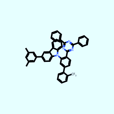 Cc1cc(C)cc(-c2ccc3c(c2)c2ccccc2n3-c2cc(-c3ccccc3C(F)(F)F)ccc2-c2nc(-c3ccccc3)nc(-c3ccccc3)n2)c1